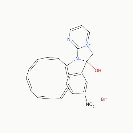 O=[N+]([O-])c1cccc(C2(O)C[n+]3cccnc3N2C2=CC=CC=CC=CC=CC=C2)c1.[Br-]